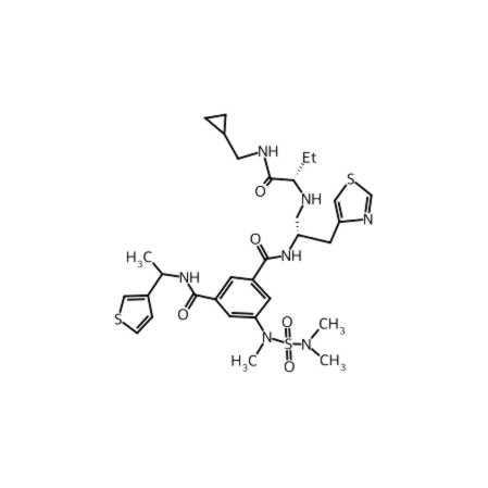 CC[C@H](NC[C@H](Cc1cscn1)NC(=O)c1cc(C(=O)NC(C)c2ccsc2)cc(N(C)S(=O)(=O)N(C)C)c1)C(=O)NCC1CC1